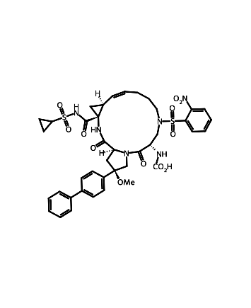 CO[C@@]1(c2ccc(-c3ccccc3)cc2)C[C@H]2C(=O)N[C@]3(C(=O)NS(=O)(=O)C4CC4)C[C@H]3C=CCCCN(S(=O)(=O)c3ccccc3[N+](=O)[O-])C[C@H](NC(=O)O)C(=O)N2C1